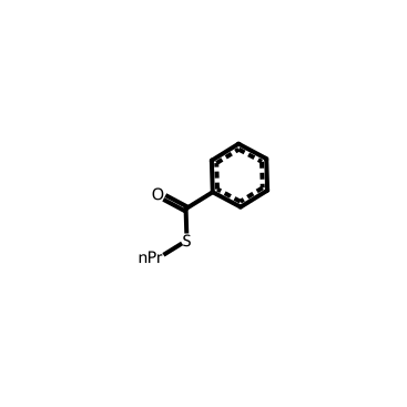 [CH2]CCSC(=O)c1ccccc1